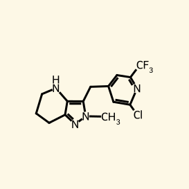 Cn1nc2c(c1Cc1cc(Cl)nc(C(F)(F)F)c1)NCCC2